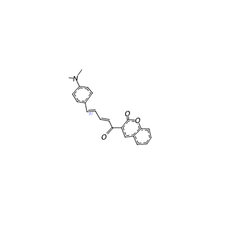 CN(C)c1ccc(/C=C/C=CC(=O)c2cc3ccccc3oc2=O)cc1